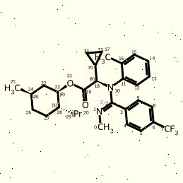 C/N=C(\c1ccc(C(F)(F)F)cc1)N(c1ccccc1C)[C@@H](C(=O)O[C@@H]1C[C@H](C)CC[C@H]1C(C)C)C1CC1